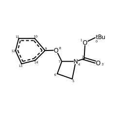 CC(C)(C)OC(=O)N1CCC1Oc1ccccc1